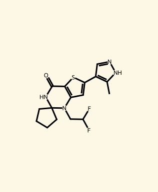 Cc1[nH]ncc1-c1cc2c(s1)C(=O)NC1(CCCC1)N2CC(F)F